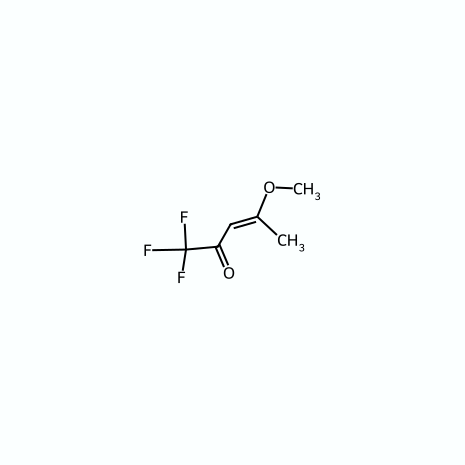 CO/C(C)=C/C(=O)C(F)(F)F